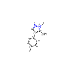 Cc1ccc(-c2cnn(C)c2C(C)C)cc1